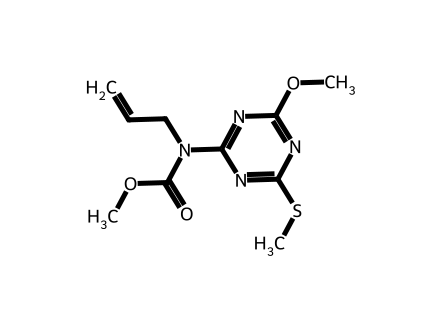 C=CCN(C(=O)OC)c1nc(OC)nc(SC)n1